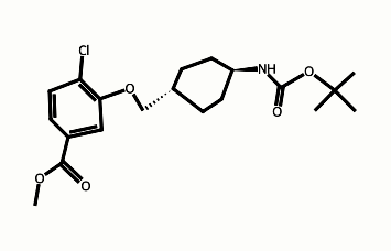 COC(=O)c1ccc(Cl)c(OC[C@H]2CC[C@H](NC(=O)OC(C)(C)C)CC2)c1